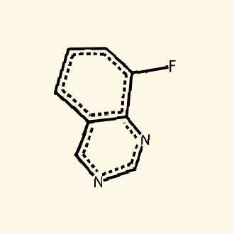 Fc1cccc2cncnc12